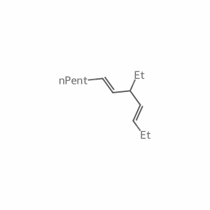 [CH2]C/C=C/C(/C=C/CCCCC)CC